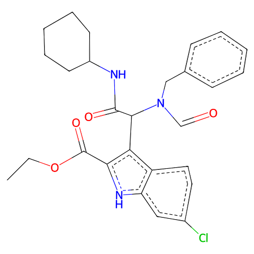 CCOC(=O)c1[nH]c2cc(Cl)ccc2c1C(C(=O)NC1CCCCC1)N(C=O)Cc1ccccc1